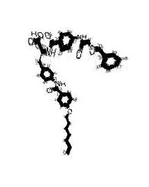 CCCCCCCOc1ccc(C(=O)Nc2ccc(C[C@H](NC(=O)c3ccc(NC(=O)COCc4ccccc4)cc3)C(=O)O)cc2)cc1